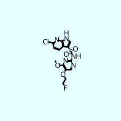 COc1nc(NS(=O)(=O)c2c[nH]c3nc(Cl)ccc23)ncc1OCCF